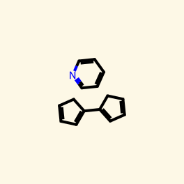 C1=CCC(C2=CC=CC2)=C1.c1ccncc1